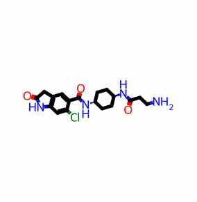 NCCC(=O)N[C@H]1CC[C@H](NC(=O)c2cc3c(cc2Cl)NC(=O)C3)CC1